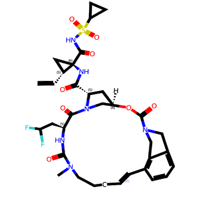 C=C[C@@H]1C[C@]1(NC(=O)[C@@H]1C[C@@H]2CN1C(=O)[C@H](CC(F)F)NC(=O)N(C)CCC/C=C/c1cccc3c1CN(C3)C(=O)O2)C(=O)NS(=O)(=O)C1CC1